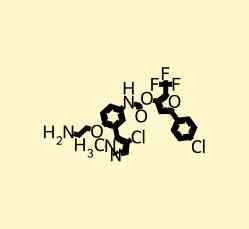 Cn1ncc(Cl)c1-c1cc(NC(=O)Oc2cc(-c3ccc(Cl)cc3)oc2C(F)(F)F)ccc1OCCN